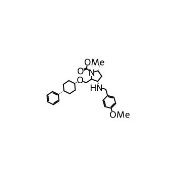 COC(=O)N1C(CO[C@H]2CC[C@@H](c3ccccc3)CC2)[C@@H](NCc2ccc(OC)cc2)C[C@H]1C